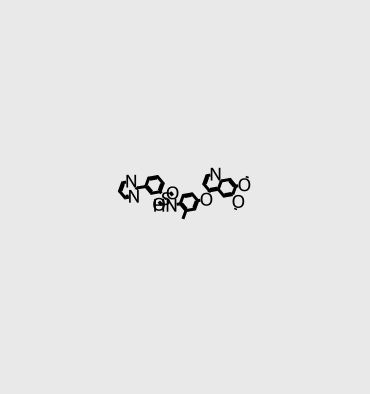 COc1cc2nccc(Oc3ccc(NS(=O)(=O)c4cccc(-c5ncccn5)c4)c(C)c3)c2cc1OC